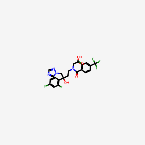 O=C(O)CN(CCC(O)(Cn1cncn1)c1ccc(F)cc1F)C(=O)c1ccc(C(F)(F)F)cc1F